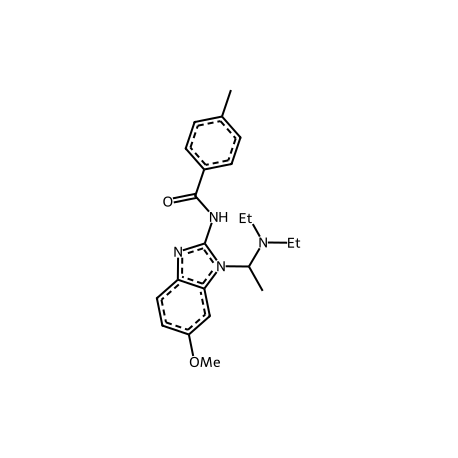 CCN(CC)C(C)n1c(NC(=O)c2ccc(C)cc2)nc2ccc(OC)cc21